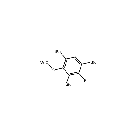 COSc1c(C(C)(C)C)cc(C(C)(C)C)c(F)c1C(C)(C)C